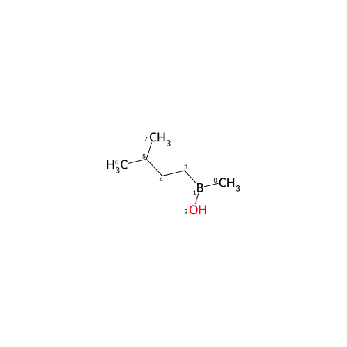 CB(O)CCC(C)C